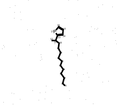 CCCCCCCCCCCC(C)C1=CC=C[P]1